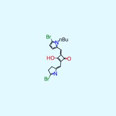 CCCCn1c(Br)ccc1/C=C1/C(=O)C(/C=C2\CCC(Br)=N2)=C1O